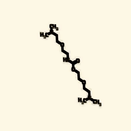 CN(C)CCOCCNC(=O)OCCOCCN(C)C